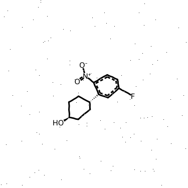 O=[N+]([O-])c1ccc(F)cc1[C@H]1CC[C@H](O)CC1